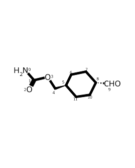 NC(=O)OC[C@H]1CC[C@H](C=O)CC1